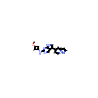 CO[C@H]1C[C@@H](Nc2ncc3c(-c4ccn5nccc5c4)c[nH]c3n2)C1